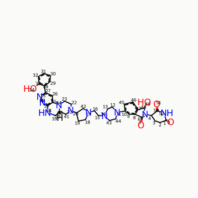 O=C1CCC(N2C(=O)c3cc(N4CCN(CCN5CCC(N6CCN7c8cc(-c9ccccc9O)nnc8NC[C@H]7C6)C5)CC4)ccc3C2O)C(=O)N1